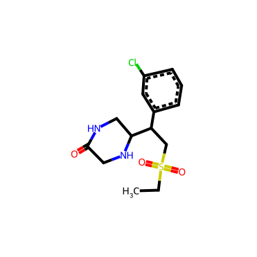 CCS(=O)(=O)CC(c1cccc(Cl)c1)C1CNC(=O)CN1